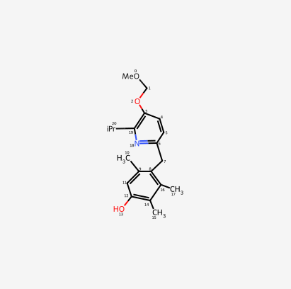 COCOc1ccc(Cc2c(C)cc(O)c(C)c2C)nc1C(C)C